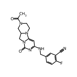 CC(=O)N1CCN2c3cc(NCc4ccc(F)c(C#N)c4)nc(=O)n3CC2C1